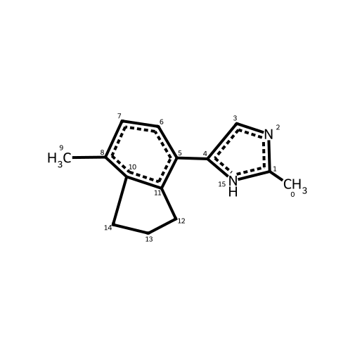 Cc1ncc(-c2ccc(C)c3c2CCC3)[nH]1